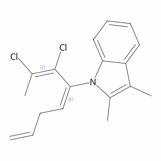 C=CC/C=C(\C(Cl)=C(/C)Cl)n1c(C)c(C)c2ccccc21